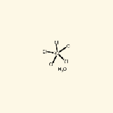 O.[Cl][Ru]([Cl])([Cl])([Cl])[Cl]